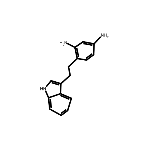 Nc1ccc(CCc2c[nH]c3ccccc23)c(N)c1